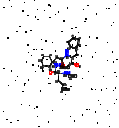 COC(=O)[C@H](Cc1ccccc1)NC(=O)CC1(NC(=O)[C@H](CCSC)NC=O)CCCCC1